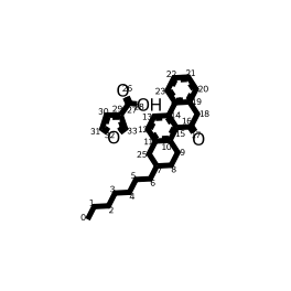 CCCCCCCC1CCc2c(ccc3c2C(=O)Cc2ccccc2-3)C1.O=C(O)c1ccoc1